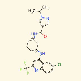 CC(C)n1cc(C(=O)N[C@@H]2CCC[C@H](Nc3cc(C(F)(F)F)nc4ccc(Cl)cc34)C2)cn1